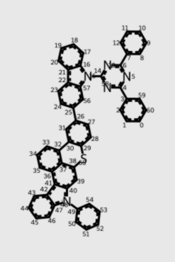 c1ccc(-c2nc(-c3ccccc3)nc(-n3c4ccccc4c4ccc(-c5ccc6c(c5)-c5cccc7c5c(cc5c7c7ccccc7n5-c5ccccc5)S6)cc43)n2)cc1